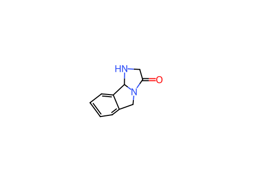 O=C1CNC2c3ccccc3CN12